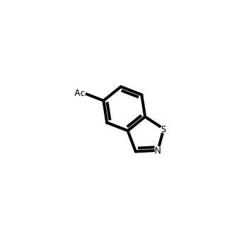 CC(=O)c1ccc2sncc2c1